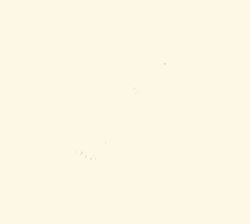 CCCOCCC[Si](C)(C)C#CC#CC#C[Si](C)(C)CC[Si](OC)(OC)OC